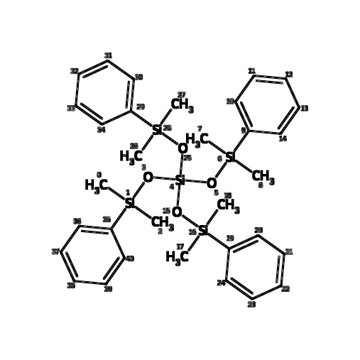 C[Si](C)(O[Si](O[Si](C)(C)c1ccccc1)(O[Si](C)(C)c1ccccc1)O[Si](C)(C)c1ccccc1)c1ccccc1